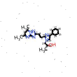 Cc1cc(C)n2nc(C=Cc3nc(-c4ccccc4)cn3CC(C)O)nc2n1